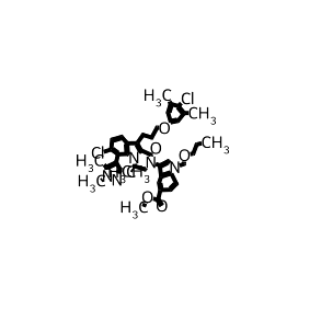 CCCOCn1cc(N2C[C@@H](C)n3c(c(CCCOc4cc(C)c(Cl)c(C)c4)c4ccc(Cl)c(-c5c(C)nn(C)c5C)c43)C2=O)c2cc(C(=O)OC)ccc21